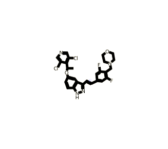 CC(Oc1ccc2[nH]nc(/C=C/c3cc(F)c(CN4CCOCC4)c(F)c3)c2c1)c1c(Cl)cncc1Cl